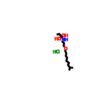 CCC(O)(O)NCCCOCCCCCCCC(C)C.Cl